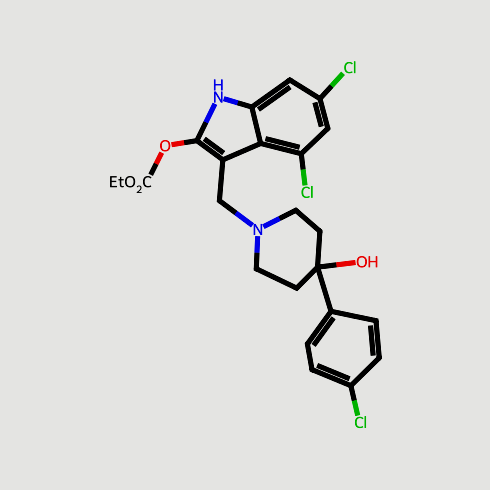 CCOC(=O)Oc1[nH]c2cc(Cl)cc(Cl)c2c1CN1CCC(O)(c2ccc(Cl)cc2)CC1